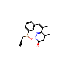 C#CC[S+]([O-])c1cccc(C=C(C)C2=NNC(=O)CC2C)c1